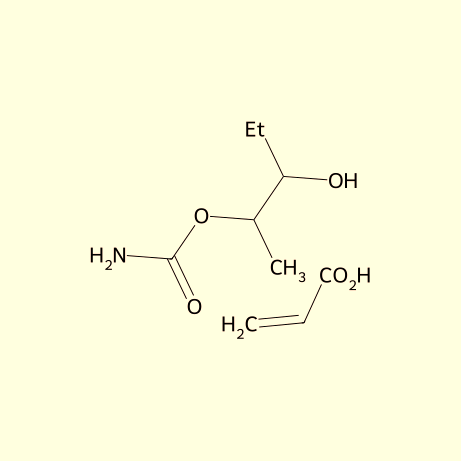 C=CC(=O)O.CCC(O)C(C)OC(N)=O